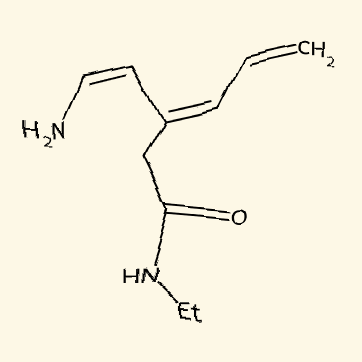 C=C/C=C(\C=C/N)CC(=O)NCC